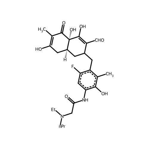 CCCN(CC)CC(=O)Nc1cc(F)c(CC2C[C@H]3CC(O)=C(C)C(=O)[C@@]3(O)C(O)=C2C=O)c(C)c1O